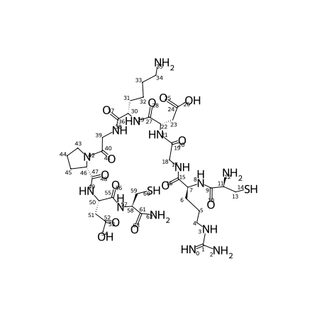 N=C(N)NCCC[C@H](NC(=O)[C@@H](N)CS)C(=O)NCC(=O)N[C@@H](CC(=O)O)C(=O)N[C@@H](CCCCN)C(=O)NCC(=O)N1CCC[C@H]1C(=O)N[C@@H](CC(=O)O)C(=O)N[C@@H](CS)C(N)=O